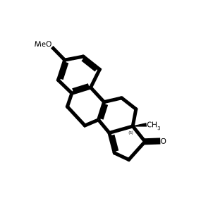 COc1ccc2c(c1)CCC1=C2CC[C@]2(C)C(=O)CC=C12